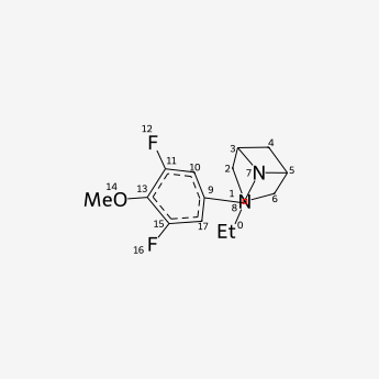 CCN1CC2CC(C1)N2Cc1cc(F)c(OC)c(F)c1